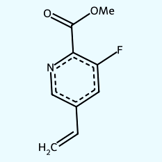 C=Cc1cnc(C(=O)OC)c(F)c1